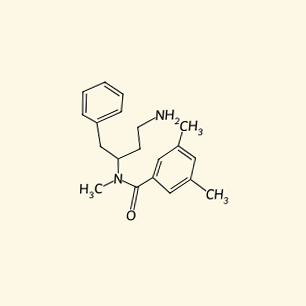 Cc1cc(C)cc(C(=O)N(C)C(CCN)Cc2ccccc2)c1